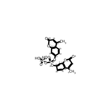 Cc1cc(=O)oc2cc(OP(=O)(Oc3ccc4c(C)cc(=O)oc4c3)OP(=O)(O)O)ccc12